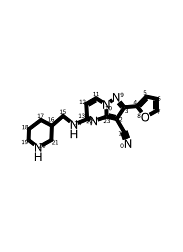 N#Cc1c(-c2ccco2)nn2ccc(NCC3CCCNC3)nc12